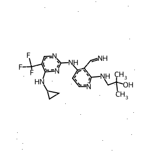 CC(C)(O)CNc1nccc(Nc2ncc(C(F)(F)F)c(NC3CC3)n2)c1C=N